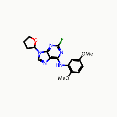 COc1ccc(OC)c(Nc2nc(F)nc3c2ncn3C2CCCO2)c1